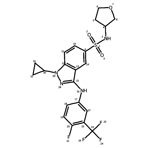 O=S(=O)(NC1CCOC1)c1ccc2c(c1)c(Nc1ccc(F)c(C(F)(F)F)c1)nn2C1CC1